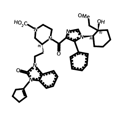 COC[C@]1(O)CCCC[C@H]1n1cnc(C(=O)N2CCN(C(=O)O)C[C@H]2CCn2c(=O)n(C3=CCCC3)c3ccccc32)c1-c1ccccc1